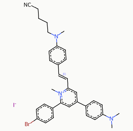 CN(C)c1ccc(-c2cc(/C=C/c3ccc(N(C)CCCCC#N)cc3)[n+](C)c(-c3ccc(Br)cc3)c2)cc1.[I-]